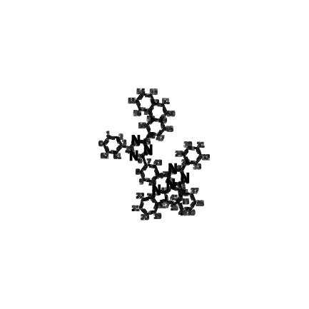 c1ccc(-c2nc(-c3ccc(-n4c5ccccc5c5ccccc54)c(-c4nc(-c5ccccc5)nc(-c5ccccc5)n4)c3)nc(-c3ccc4ccc5ccccc5c4c3)n2)cc1